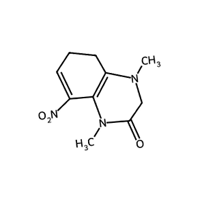 CN1CC(=O)N(C)C2=C1CCC=C2[N+](=O)[O-]